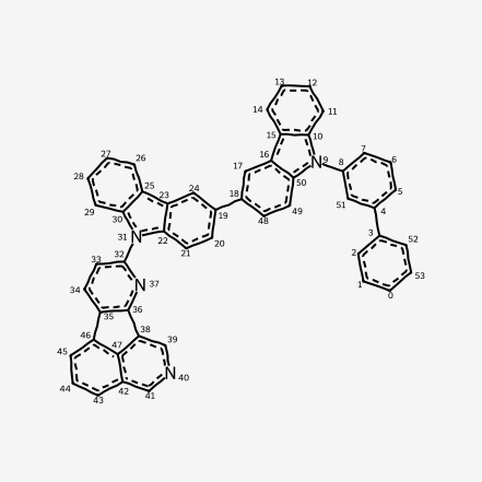 c1ccc(-c2cccc(-n3c4ccccc4c4cc(-c5ccc6c(c5)c5ccccc5n6-c5ccc6c(n5)-c5cncc7cccc-6c57)ccc43)c2)cc1